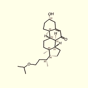 CC(C)OCC[C@@H](C)[C@H]1CC[C@H]2[C@@H]3C(=O)C=C4C[C@@H](O)CC[C@]4(C)[C@H]3CC[C@]12C